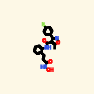 Cc1onc(-c2ccc(F)cc2)c1C(=O)Nc1ccccc1C=CC(=O)NO